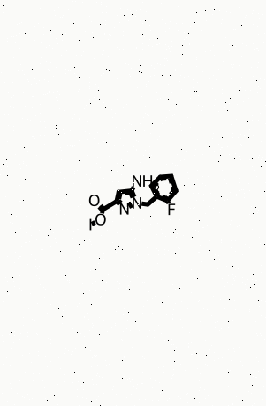 Nc1cc(C(=O)OI)nn1Cc1ccccc1F